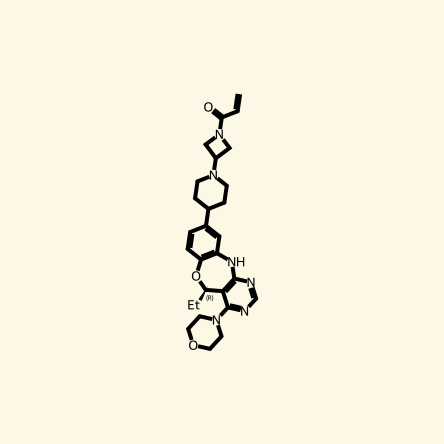 C=CC(=O)N1CC(N2CCC(c3ccc4c(c3)Nc3ncnc(N5CCOCC5)c3[C@@H](CC)O4)CC2)C1